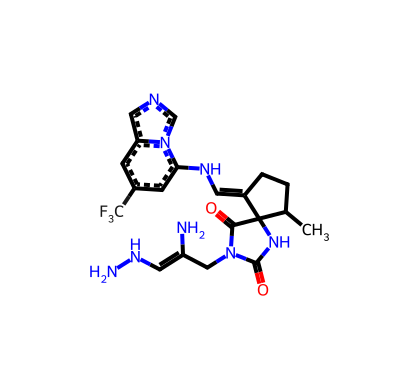 CC1CC/C(=C\Nc2cc(C(F)(F)F)cc3cncn23)C12NC(=O)N(C/C(N)=C/NN)C2=O